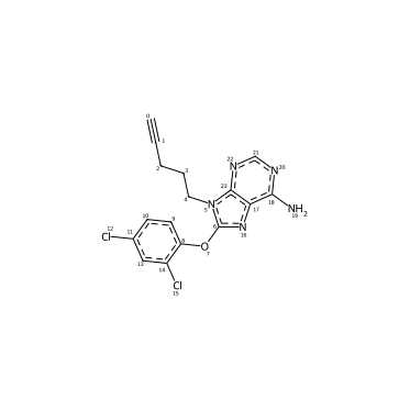 C#CCCCn1c(Oc2ccc(Cl)cc2Cl)nc2c(N)ncnc21